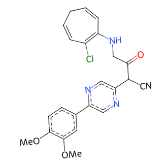 COc1ccc(-c2cnc(C(C#N)C(=O)CNC3=C(Cl)C=CCC=C3)cn2)cc1OC